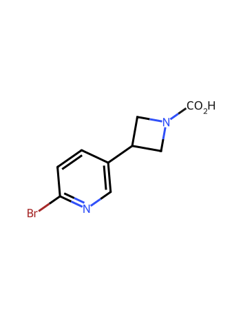 O=C(O)N1CC(c2ccc(Br)nc2)C1